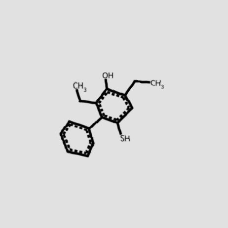 CCc1cc(S)c(-c2ccccc2)c(CC)c1O